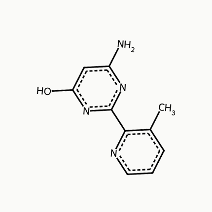 Cc1cccnc1-c1nc(N)cc(O)n1